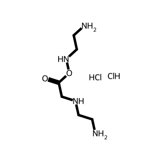 Cl.Cl.NCCNCC(=O)ONCCN